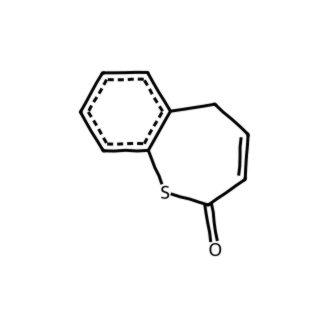 O=C1C=CCc2ccccc2S1